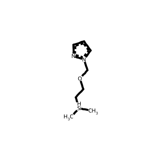 C[SiH](C)CCOCn1cccn1